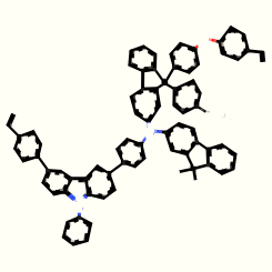 C=Cc1ccc(Oc2ccc(C3(c4ccc(C(C)(C)C)cc4)c4ccccc4-c4ccc(N(c5ccc(-c6ccc7c(c6)c6cc(-c8ccc(C=C)cc8)ccc6n7-c6ccccc6)cc5)c5ccc6c(c5)C(C)(C)c5ccccc5-6)cc43)cc2)cc1